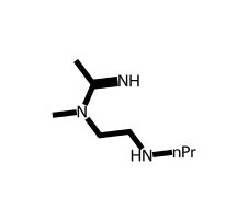 CCCNCCN(C)C(C)=N